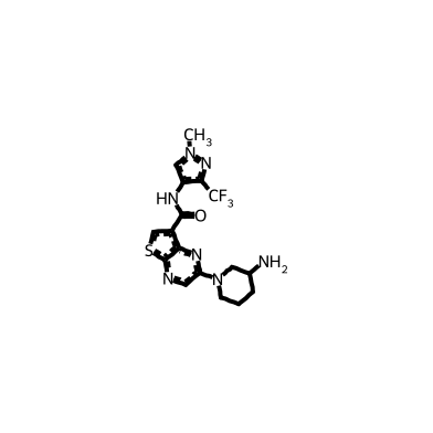 Cn1cc(NC(=O)c2csc3ncc(N4CCCC(N)C4)nc23)c(C(F)(F)F)n1